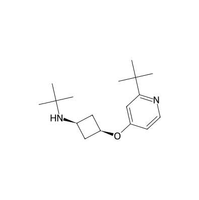 CC(C)(C)N[C@H]1C[C@@H](Oc2ccnc(C(C)(C)C)c2)C1